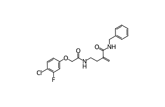 C=C(CCNC(=O)COc1ccc(Cl)c(F)c1)C(=O)NCc1ccccc1